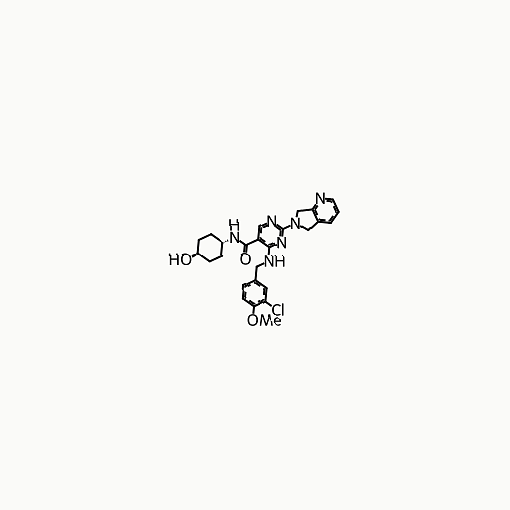 COc1ccc(CNc2nc(N3Cc4cccnc4C3)ncc2C(=O)N[C@H]2CC[C@H](O)CC2)cc1Cl